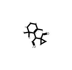 CC1=C(C(C=O)C2(C=O)CC2)C(C)(C)CCC1